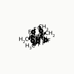 C=CCN(C(=O)[C@H](Cc1cc(F)cc(F)c1)NC(=O)c1cc(F)c(F)cc1C(=O)N[C@@H](Cc1cc(F)cc(F)c1)C(=O)N(CC=C)c1ccc(OC)cc1)c1ccc(OC)cc1